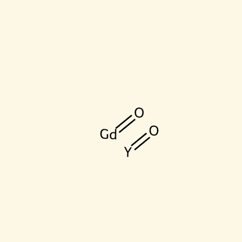 [O]=[Gd].[O]=[Y]